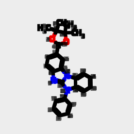 CC1(C)OB(c2ccc3nc4n(-c5ccccc5)c5ccccc5n4c3c2)OC1(C)C